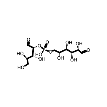 O=C[C@H](OP(=O)(O)OC[C@@H](O)[C@@H](O)[C@H](O)[C@@H](O)C=O)[C@H](O)[C@H](O)CO